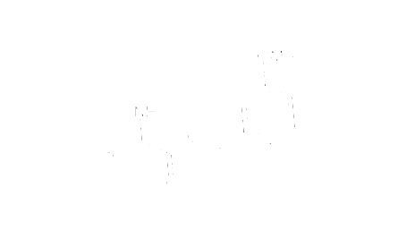 COc1cccc(COC(=O)[C@@H](N)C(C)C)c1